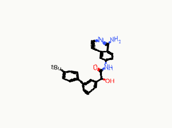 CC(C)(C)c1ccc(-c2cccc(C(O)C(=O)Nc3ccc4c(N)nccc4c3)c2)cc1